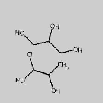 CC(O)C(O)Cl.OCC(O)CO